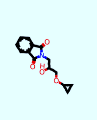 O=C1c2ccccc2C(=O)N1CC(O)COC1CC1